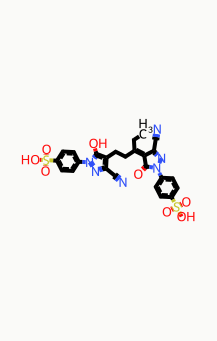 CC/C(CCc1c(C#N)nn(-c2ccc(S(=O)(=O)O)cc2)c1O)=C1/C(=O)N(c2ccc(S(=O)(=O)O)cc2)N=C1C#N